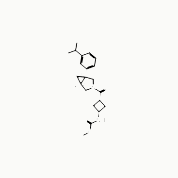 COC(=O)N[C@H]1C[C@@H](C(=O)N2C[C@H]3C[C@@]3(c3cccc(C(C)C)c3)C2)C1